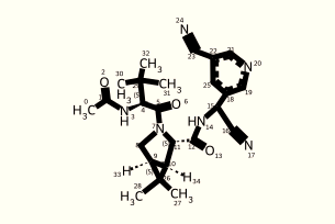 CC(=O)N[C@H](C(=O)N1C[C@H]2[C@@H]([C@H]1C(=O)NC(C#N)c1cncc(C#N)c1)C2(C)C)C(C)(C)C